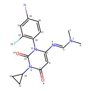 CN(C)C=Nc1cc(=O)n(C2CC2)c(=O)n1-c1ccc(I)cc1F